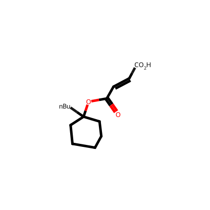 CCCCC1(OC(=O)C=CC(=O)O)CCCCC1